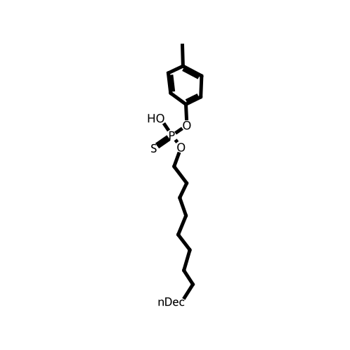 CCCCCCCCCCCCCCCCCCOP(O)(=S)Oc1ccc(C)cc1